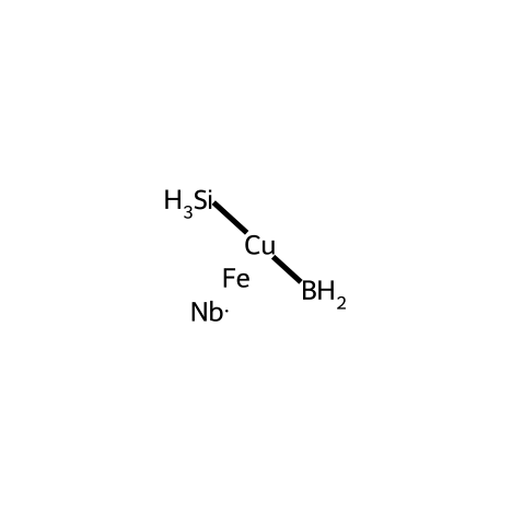 [BH2][Cu][SiH3].[Fe].[Nb]